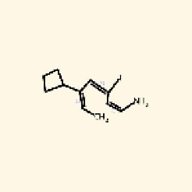 C\C=C(/C=C(I)\C=C/N)C1CCC1